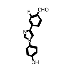 O=Cc1ccc(-c2cn(-c3ccc(O)cc3)cn2)cc1F